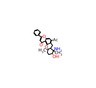 CC(=O)c1cc2oc(-c3ccccc3)cc(=O)c2c2c1CC1C(C)(N)[C@@H](O)CC[C@]1(C)O2